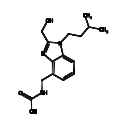 CC(C)CCn1c(CO)nc2c(CNC(=O)O)cccc21